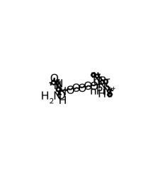 CCCN1/C(=C\C=C2/CCCC(/C=C/C3=[N+](CCC)c4ccccc4C3(C)C)=C2NCCCOCCOCCOCCOCCOCCCNc2cc(-n3nc(C)c4c3CC(C)(C)CC4=O)ccc2C(N)=O)C(C)(C)c2ccccc21